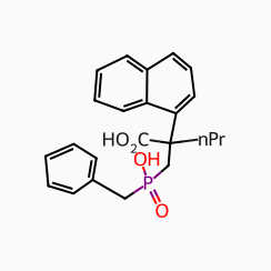 CCCC(CP(=O)(O)Cc1ccccc1)(C(=O)O)c1cccc2ccccc12